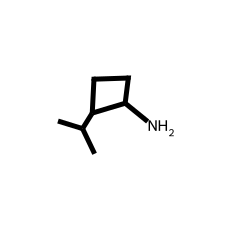 CC(C)C1CCC1N